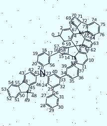 CC1C=CC2=C(C1)C1(c3ccccc3-c3cc(-c4cccc(N(c5cc(-c6ccccc6)cc(-c6ccccc6)c5)c5ccc6c(c5)C(C)(C)c5ccccc5-6)c4)ccc31)c1ccccc1C21c2ccccc2-c2ccccc21